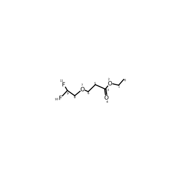 CCOC(=O)CCOCC(F)F